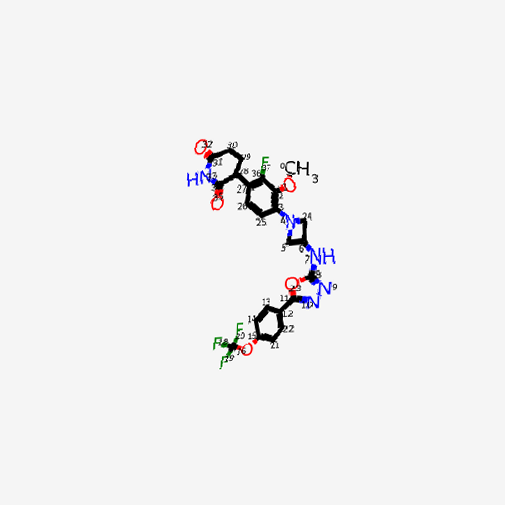 COc1c(N2CC(Nc3nnc(-c4ccc(OC(F)(F)F)cc4)o3)C2)ccc(C2CCC(=O)NC2=O)c1F